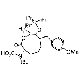 COc1ccc(C[C@H]2CCC[C@H](N(C(=O)O)C(C)(C)C)C(=O)O[C@@H](C)[C@@H]2O[Si](C(C)C)(C(C)C)C(C)C)cc1